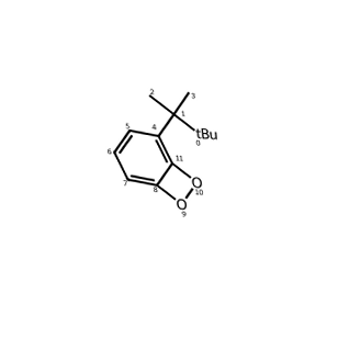 CC(C)(C)C(C)(C)c1cccc2ooc12